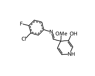 COC1(/C=N/c2ccc(F)c(Cl)c2)C=CNC=C1O